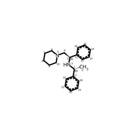 C[C@@H](N[C@@H](CN1CCCCC1)c1ccccc1)c1ccccc1